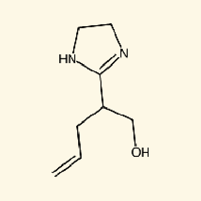 C=CCC(CO)C1=NCCN1